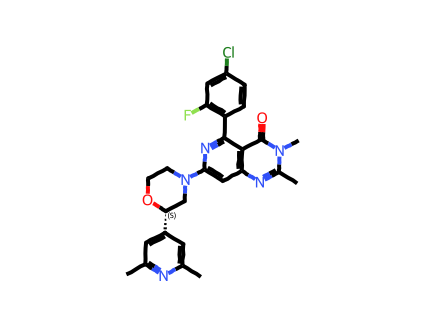 Cc1cc([C@H]2CN(c3cc4nc(C)n(C)c(=O)c4c(-c4ccc(Cl)cc4F)n3)CCO2)cc(C)n1